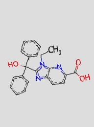 CCn1c(C(O)(c2ccccc2)c2ccccc2)nc2ccc(C(=O)O)nc21